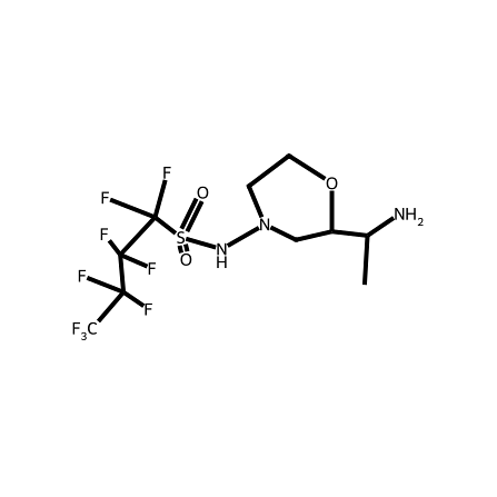 CC(N)C1CN(NS(=O)(=O)C(F)(F)C(F)(F)C(F)(F)C(F)(F)F)CCO1